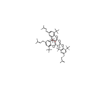 CC(C)CCc1cc(C(C)(C)C)c(OP2OP(Oc3c(C(C)(C)C)cc(CCC(C)C)cc3C(C)(C)C)OP(Oc3c(C(C)(C)C)cc(CCC(C)C)cc3C(C)(C)C)O2)c(C(C)(C)C)c1